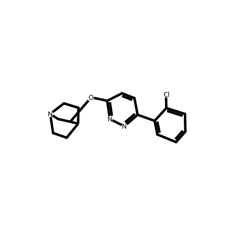 Clc1ccccc1-c1ccc(OC2CN3CCC2CC3)nn1